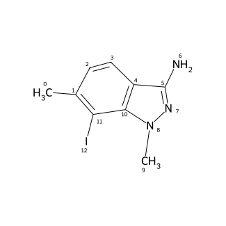 Cc1ccc2c(N)nn(C)c2c1I